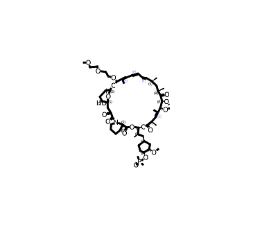 COCCOCCOC1C[C@@H]2CC[C@@H](C)[C@](O)(CC(=O)C(=O)N3CCCC[C@H]3C(=O)O[C@H]([C@H](C)C[C@@H]3CC[C@@H](OP(C)(C)=O)[C@H](OC)C3)CC(=O)[C@H](C)/C=C(\C)[C@@H](OC)[C@@H](OC)C(=O)[C@H](C)C[C@H](C)/C=C/C=C/C=C/1C)O2